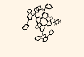 c1ccc(-c2cc(N(c3ccccc3)c3cc4oc5cc(N6Cc7c(-c8ccccc8)cccc7-c7ccccc76)cc6c7ccc(-c8ncncn8)c8oc9cc(N(c%10ccccc%10)c%10ccccc%10)cc(c(c3)c4c56)c9c87)c3ccccc3c2)cc1